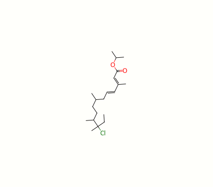 CCC(C)(Cl)C(C)CCC(C)CC=CC(C)=CC(=O)OC(C)C